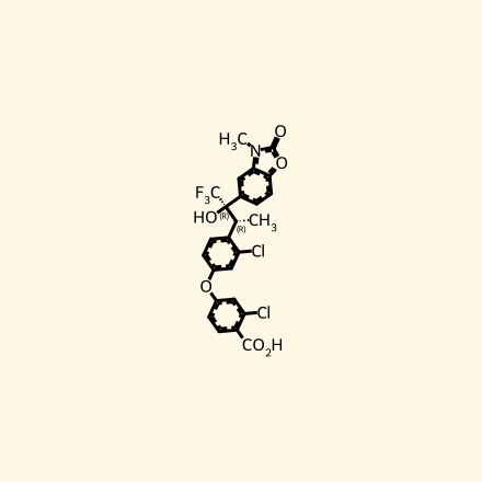 C[C@H](c1ccc(Oc2ccc(C(=O)O)c(Cl)c2)cc1Cl)[C@@](O)(c1ccc2oc(=O)n(C)c2c1)C(F)(F)F